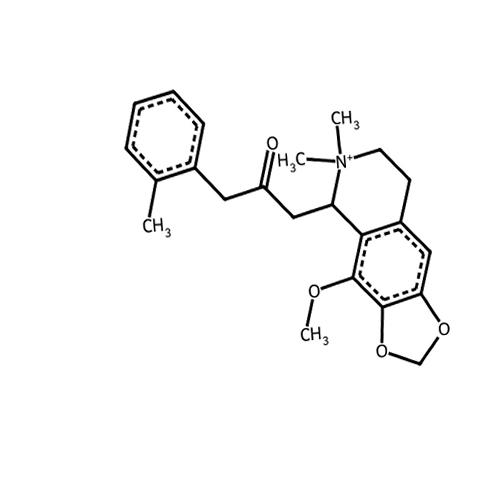 COc1c2c(cc3c1C(CC(=O)Cc1ccccc1C)[N+](C)(C)CC3)OCO2